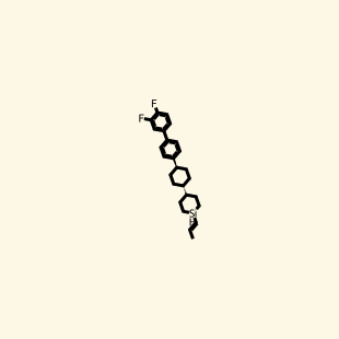 CC=C[SiH]1CCC([C@H]2CC[C@H](c3ccc(-c4ccc(F)c(F)c4)cc3)CC2)CC1